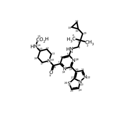 CC(C)(CNc1cc(C(=O)N2CCC(NC(=O)O)CC2)nc(-c2cnn3ccsc23)n1)CC1CC1